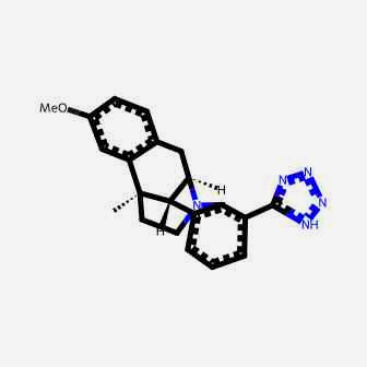 COc1ccc2c(c1)[C@]1(C)CCN(C)[C@H](C2)[C@@H]1c1cccc(-c2nnn[nH]2)c1